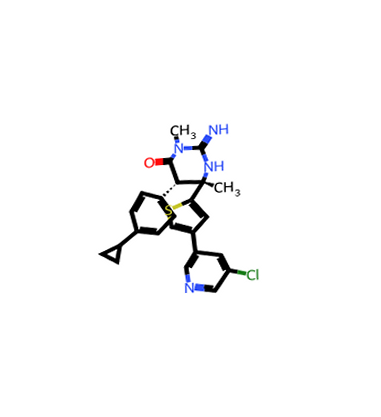 CN1C(=N)N[C@](C)(c2cc(-c3cncc(Cl)c3)cs2)[C@H](c2ccc(C3CC3)cc2)C1=O